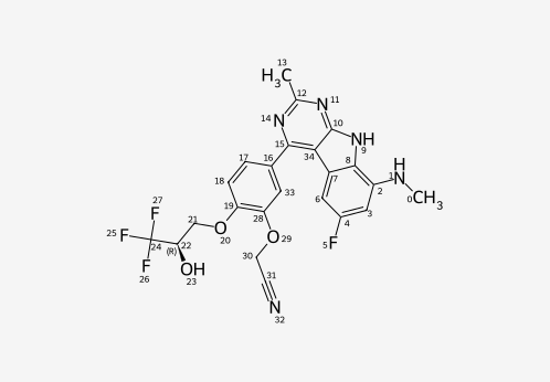 CNc1cc(F)cc2c1[nH]c1nc(C)nc(-c3ccc(OC[C@@H](O)C(F)(F)F)c(OCC#N)c3)c12